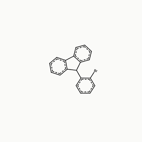 Brc1ccccc1C1c2ccccc2-c2ccccc21